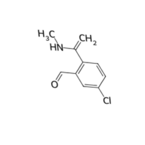 C=C(NC)c1ccc(Cl)cc1C=O